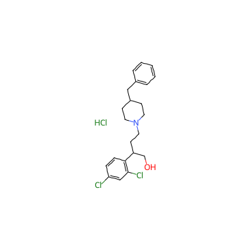 Cl.OCC(CCN1CCC(Cc2ccccc2)CC1)c1ccc(Cl)cc1Cl